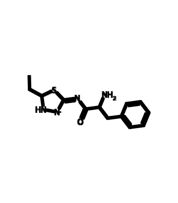 CCC1N[N]C(=NC(=O)C(N)Cc2ccccc2)S1